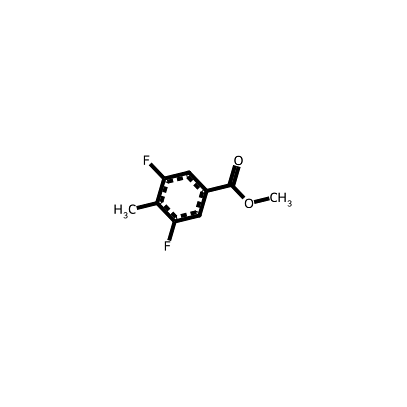 COC(=O)c1cc(F)c(C)c(F)c1